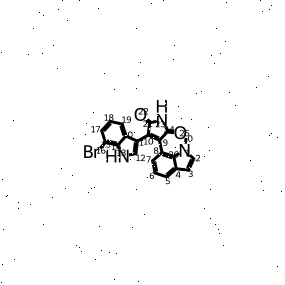 Cn1ccc2cccc(C3=C(c4c[nH]c5c(Br)cccc45)C(=O)NC3=O)c21